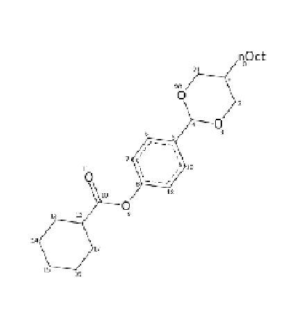 CCCCCCCCC1COC(c2ccc(OC(=O)C3CCCCC3)cc2)OC1